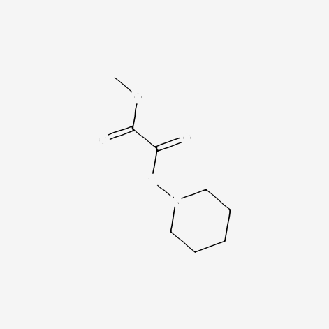 COC(=O)C(=O)ON1CCCCC1